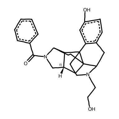 O=C(c1ccccc1)N1C[C@H]2CC34CCC1C2C31CCN(CCO)C4Cc2ccc(O)cc21